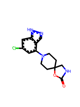 O=C1NCC2(CCN(c3cc(Cl)cc4[nH]ncc34)CC2)O1